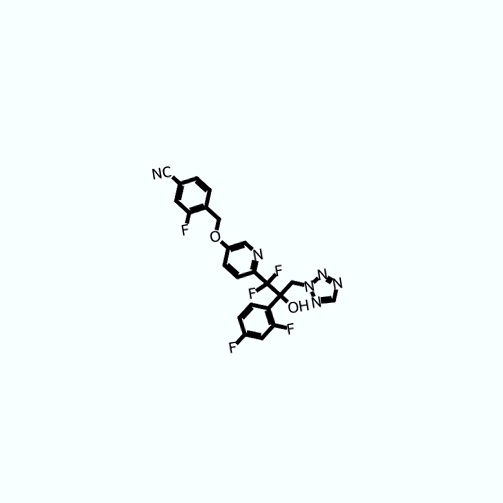 N#Cc1ccc(COc2ccc(C(F)(F)C(O)(Cn3ncnn3)c3ccc(F)cc3F)nc2)c(F)c1